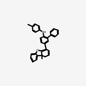 Cc1ccc(Nc2ccc(C3=C4Oc5ccccc5C4(C)CC=C3)cc2-c2ccccc2)cc1